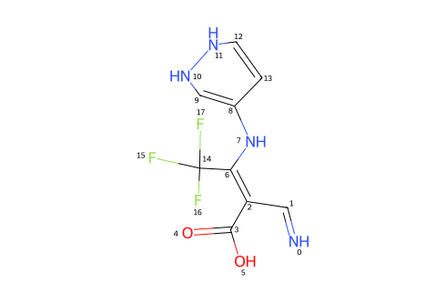 N=C/C(C(=O)O)=C(\NC1=CNNC=C1)C(F)(F)F